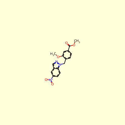 COC(=O)c1ccc(Cn2ncc3cc([N+](=O)[O-])ccc32)c(OC)c1